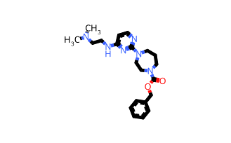 CN(C)CCNc1ccnc(N2CCCN(C(=O)OCc3ccccc3)CC2)n1